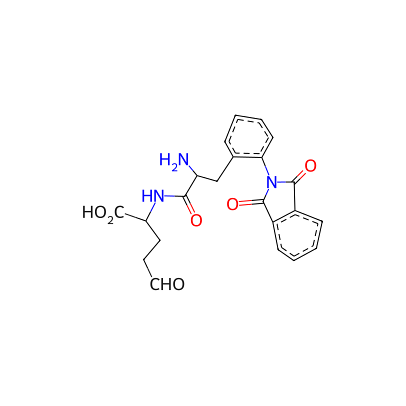 NC(Cc1ccccc1N1C(=O)c2ccccc2C1=O)C(=O)NC(CCC=O)C(=O)O